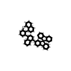 c1ccc2c(c1)-c1ccccc1C21c2ccccc2-c2ccc(-c3ccc(-c4cccc5c4-c4cccc6cccc(c46)O5)c4ccccc34)cc21